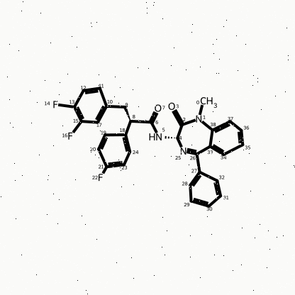 CN1C(=O)[C@@H](NC(=O)[C@H](Cc2ccc(F)c(F)c2)c2ccc(F)cc2)N=C(c2ccccc2)c2ccccc21